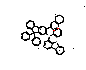 c1ccc(N(c2cc3c(cc2-c2ccc4c(c2)CCCC4)-c2ccccc2C3(c2ccccc2)c2ccccc2)c2cccc3c2oc2ccccc23)cc1